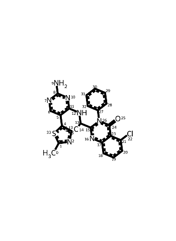 Cc1ncc(-c2cnc(N)nc2NC(C)c2nc3cccc(Cl)c3c(=O)n2-c2ccccc2)s1